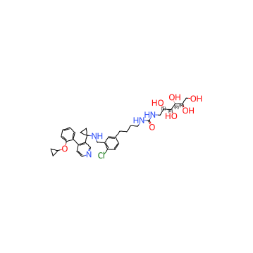 O=C(NCCCCc1ccc(Cl)c(CNC2(c3cnccc3-c3ccccc3OC3CC3)CC2)c1)NC[C@H](O)[C@@H](O)[C@H](O)[C@H](O)CO